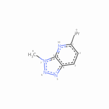 CC(C)c1ccc2nnn(C)c2n1